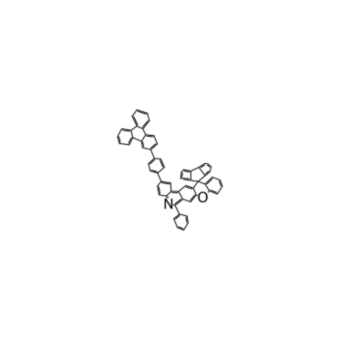 c1ccc(-c2nc3ccc(-c4ccc(-c5ccc6c7ccccc7c7ccccc7c6c5)cc4)cc3c3cc4c(cc23)Oc2ccccc2C42c3ccccc3-c3ccccc32)cc1